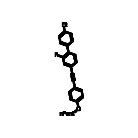 CCCCCOc1ccc(C#Cc2ccc(-c3ccc(CC)cc3)c(F)c2)cc1